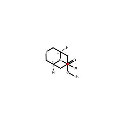 CC(C)(C)OC(=O)N1[C@@H]2COC[C@H]1CC(O)C2